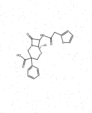 O=C(Cc1ccco1)NC1C(=O)N2CC(C(=O)O)(c3ccccc3)CS[C@H]12